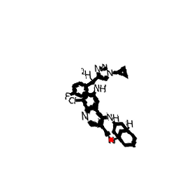 [2H][C@](Nc1cc(Cl)c2ncc(C#N)c(NC3C[C@H]4CCC[C@@H](C3)C4)c2c1)(c1ccc(F)cc1)c1cn(C2CC2)nn1